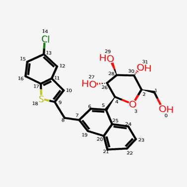 OC[C@H]1O[C@@H](c2cc(Cc3cc4cc(Cl)ccc4s3)cc3ccccc23)[C@H](O)[C@@H](O)[C@@H]1O